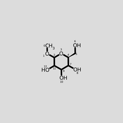 COC1O[C@@H](CO)C(O)C(O)C1O